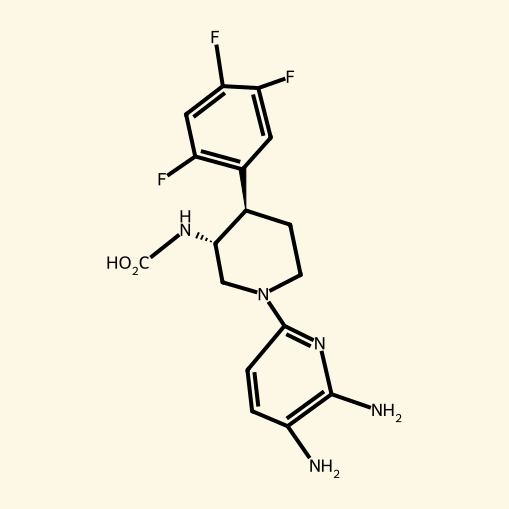 Nc1ccc(N2CC[C@H](c3cc(F)c(F)cc3F)[C@@H](NC(=O)O)C2)nc1N